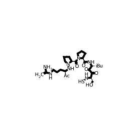 C=C(N)NCCC[C@H](NN1CCC[C@H]1C(=O)N1CCC[C@H]1C(=O)NC(C(=O)C(=O)[C@H](CO)NS)[C@@H](C)CC)C(C)=O